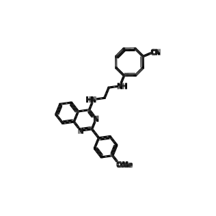 COc1ccc(-c2nc(NCCN/C3=C/C=C(/C#N)C=C=CC3)c3ccccc3n2)cc1